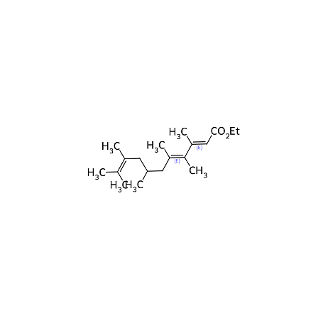 CCOC(=O)/C=C(C)/C(C)=C(\C)CC(C)CC(C)=C(C)C